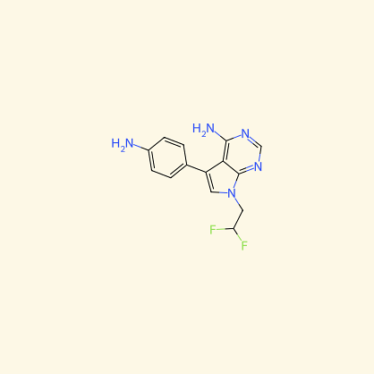 Nc1ccc(-c2cn(CC(F)F)c3ncnc(N)c23)cc1